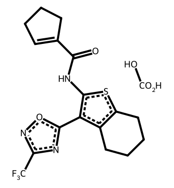 O=C(Nc1sc2c(c1-c1nc(C(F)(F)F)no1)CCCC2)C1=CCCC1.O=C(O)O